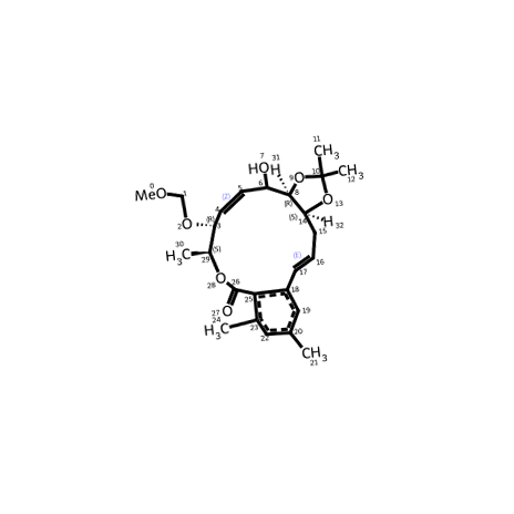 COCO[C@@H]1/C=C\C(O)[C@H]2OC(C)(C)O[C@H]2C/C=C/c2cc(C)cc(C)c2C(=O)O[C@H]1C